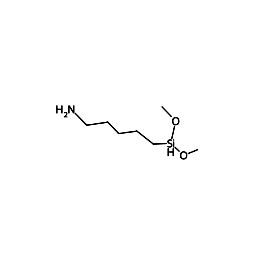 CO[SiH](CCCCCN)OC